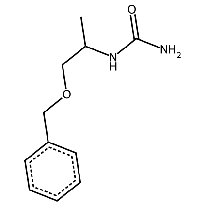 CC(COCc1ccccc1)NC(N)=O